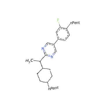 CCCCCc1ccc(-c2cnc(C(C)C3CCC(CCCCC)CC3)nc2)cc1F